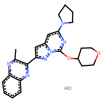 Cc1nc2ccccc2nc1-c1cc2cc(N3CCCC3)nc(OC3CCOCC3)n2n1.Cl